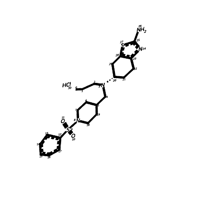 CCCN(CC1CCN(S(=O)(=O)c2ccccc2)CC1)[C@H]1CCc2nc(N)sc2C1.Cl